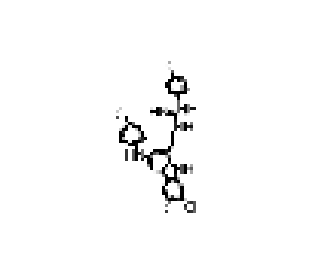 N=C(NCCC1=CC(Nc2ccc(Cl)cc2)=CC2c3cc(Cl)c(Cl)cc3NC12)Nc1ccc(Cl)cc1